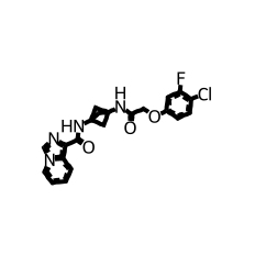 O=C(COc1ccc(Cl)c(F)c1)NC12CC(NC(=O)c3ncn4ccccc34)(C1)C2